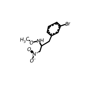 CONC(Cc1cccc(Br)c1)C[N+](=O)[O-]